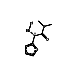 CN(C)C(=O)[C@@H](NCl)c1cccs1